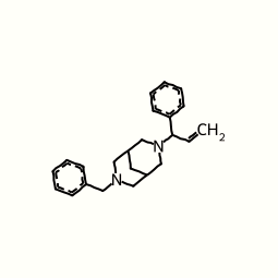 C=CC(c1ccccc1)N1CC2CC(CN(Cc3ccccc3)C2)C1